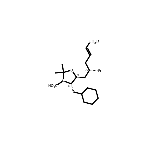 CCOC(=O)C=CC[C@@H](C[C@@H]1OC(C)(C)N(C(=O)O)[C@H]1CC1CCCCC1)C(C)C